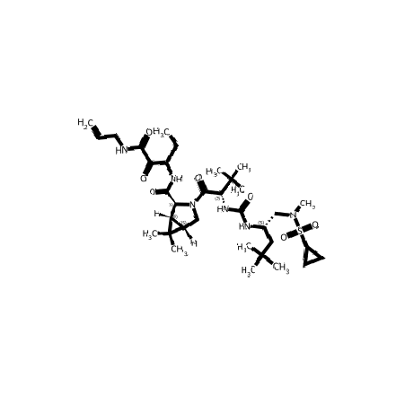 C=CCNC(=O)C(=O)C(CC)NC(=O)[C@@H]1[C@@H]2[C@H](CN1C(=O)[C@@H](NC(=O)N[C@H](CN(C)S(=O)(=O)C1CC1)CC(C)(C)C)C(C)(C)C)C2(C)C